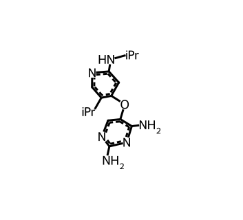 CC(C)Nc1cc(Oc2cnc(N)nc2N)c(C(C)C)cn1